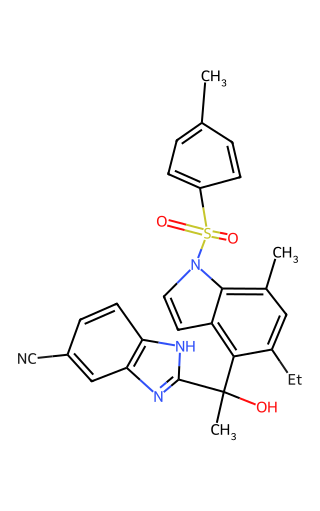 CCc1cc(C)c2c(ccn2S(=O)(=O)c2ccc(C)cc2)c1C(C)(O)c1nc2cc(C#N)ccc2[nH]1